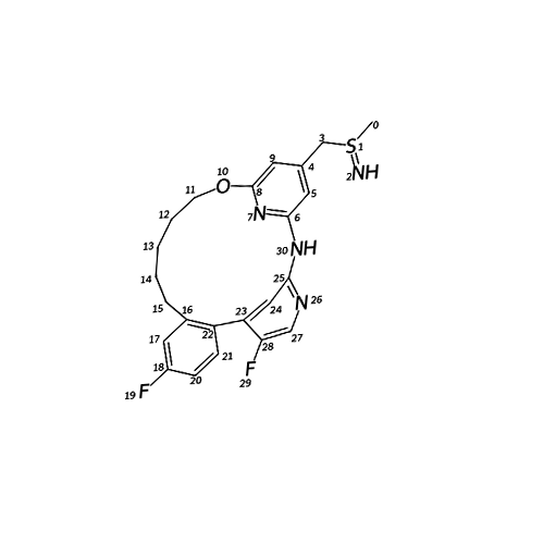 CS(=N)Cc1cc2nc(c1)OCCCCCc1cc(F)ccc1-c1cc(ncc1F)N2